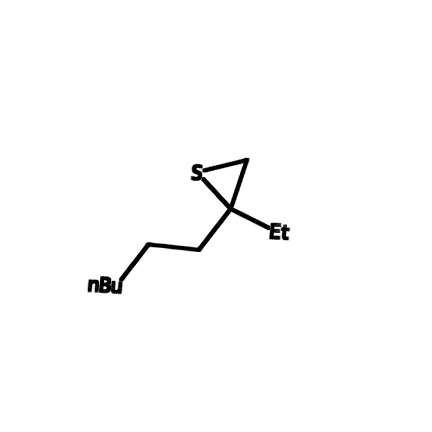 CCCCCCC1(CC)CS1